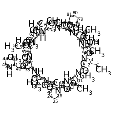 CCCCN1CC(=O)N(C)[C@@H](CC(C)C)C(=O)N[C@H](C(=O)N2CCCCC2)CC(=O)N(C)[C@@H](C)C(=O)N[C@@H](COC[C@@H]2COCCN2)C(=O)N(C)[C@@H](CC(C)C)C(=O)N(C)[C@@H](CC)C(=O)N[C@@H](C(C)C)C(=O)N(C)[C@@H](Cc2ccccc2)C(=O)N(C)[C@@H](CC(C)C)C(=O)N[C@@H]([C@@H](C)O)C1=O